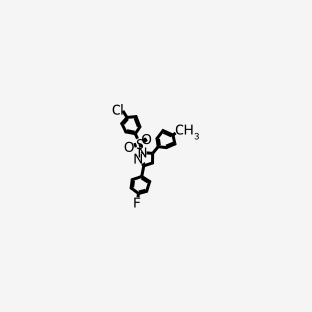 Cc1ccc(C2CC(c3ccc(F)cc3)=NN2S(=O)(=O)c2ccc(Cl)cc2)cc1